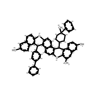 Cc1cc2cc(O)ccc2c2c1Oc1ccc3c4c(ccc3c1C2C1CCC(C)(c2ccccc2)CC1)Oc1ccc2cc(O)ccc2c1C4c1ccc(-c2ccccc2)cc1